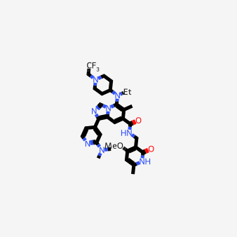 CCN(c1c(C)c(C(=O)NCc2c(OC)cc(C)[nH]c2=O)cc2c(-c3ccnc(N(C)C)c3)ncn12)C1CCN(CC(F)(F)F)CC1